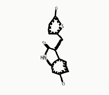 O=C1Nc2cc(Cl)ccc2C1=Cc1ccc(Cl)s1